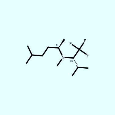 CC(C)CC[C@@H](C)N(C)[C@@H](C(C)C)C(F)(F)F